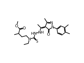 CCN(CCC(C)C(=O)OC)C(=S)NN/C(C)=C1\C(=O)N(c2ccc(C)c(C)c2)N=C1C